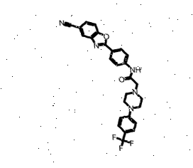 N#Cc1ccc2oc(-c3ccc(NC(=O)CN4CCN(c5ccc(C(F)(F)F)cc5)CC4)cc3)nc2c1